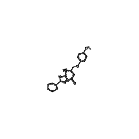 Cc1ccc(OCc2cc(=O)n3nc(-c4ccccc4)nc3[nH]2)cc1